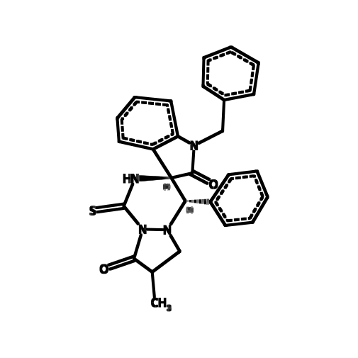 CC1CN2[C@@H](c3ccccc3)[C@@]3(NC(=S)N2C1=O)C(=O)N(Cc1ccccc1)c1ccccc13